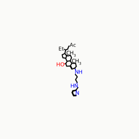 CCC(CCC(C)=O)C1CCC2C3C(O)CC4=CC(NCCCCNCc5ccccn5)CCC4(C)C3CCC12C